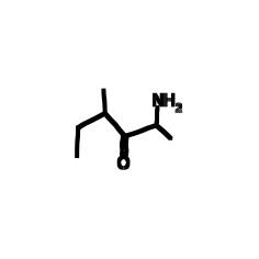 CCC(C)C(=O)C(C)N